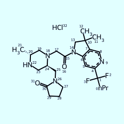 CCCC(F)(F)c1cc2c(cn1)C(C)(C)CN2C(=O)CN1C[C@@H](C)NC[C@@H]1CN1CCCC1=O.Cl